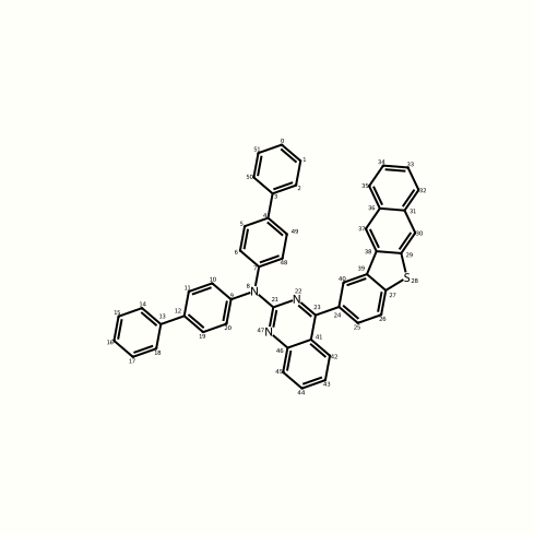 c1ccc(-c2ccc(N(c3ccc(-c4ccccc4)cc3)c3nc(-c4ccc5sc6cc7ccccc7cc6c5c4)c4ccccc4n3)cc2)cc1